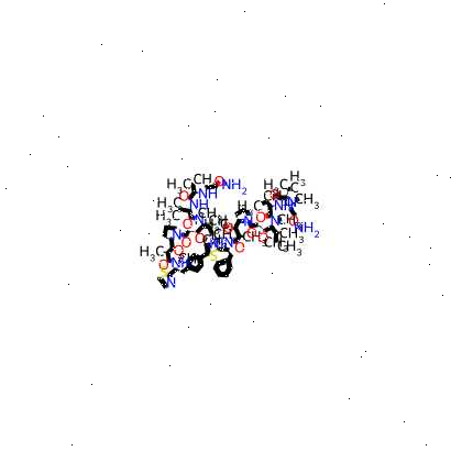 CC[C@H](C)[C@@H]([C@@H](CC(=O)N1CCC[C@H]1[C@H](OC)[C@@H](C)C(=O)N[C@@H](Cc1ccc(-c2cnc([C@H](Cc3ccccc3)NC(=O)[C@H](C)[C@@H](OC)[C@@H]3CCCN3C(=O)C[C@@H](OC)[C@H]([C@@H](C)CC)N(C)C(=O)[C@@H](NC(=O)[C@H](C(C)C)N(C)CCON)C(C)C)s2)cc1)c1nccs1)OC)N(C)C(=O)[C@@H](NC(=O)[C@@H](NCCON)C(C)C)C(C)C